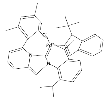 Cc1cc(C)c(-c2cccc3cn(-c4c(C(C)C)cccc4C(C)C)[c](=[Pd-2]([Cl])[C]4=Cc5ccccc5C4C(C)(C)C)n23)c(C)c1